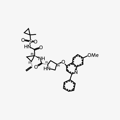 C=C[C@@H]1C[C@]1(NC(=O)[C@@H]1C[C@@H](Oc2cc(-c3ccccc3)nc3cc(OC)ccc23)CN1)C(=O)NS(=O)(=O)C1(C)CC1